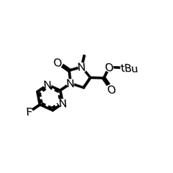 CN1C(=O)N(c2ncc(F)cn2)CC1C(=O)OC(C)(C)C